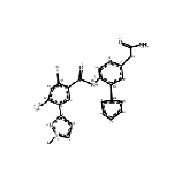 Cn1ccc(-c2cc(C(=O)Nc3cnc(CC(N)=O)cc3-c3ccccc3)c(F)cc2C(F)(F)F)n1